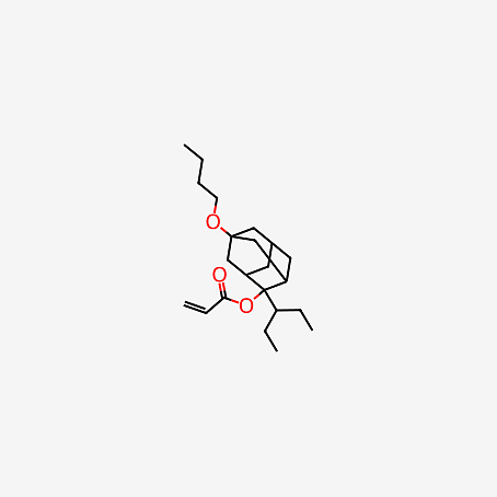 C=CC(=O)OC1(C(CC)CC)C2CC3CC1CC(OCCCC)(C3)C2